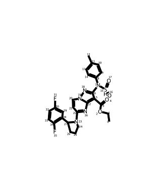 CCOC(=O)c1c(N(c2ccc(C)cc2)[SH](=O)=O)nn2ccc(N3CCCC3c3cc(F)ccc3F)nc12